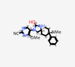 CN[C@]1(c2ccccc2)CC[C@]2(CC1)CN(c1cnc(C#N)nc1OC)C(O)N2